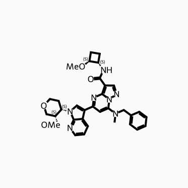 CO[C@H]1CC[C@@H]1NC(=O)c1cnn2c(N(C)Cc3ccccc3)cc(-c3cn([C@H]4CCOC[C@H]4OC)c4ncccc34)nc12